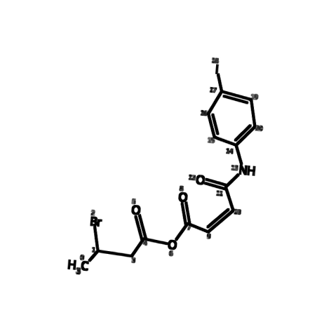 CC(Br)CC(=O)OC(=O)/C=C\C(=O)Nc1ccc(I)cc1